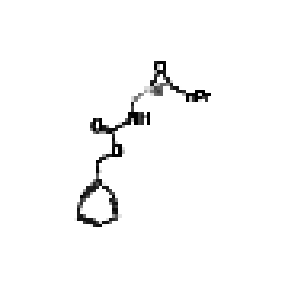 CCCC1O[C@H]1CNC(=O)OCc1ccccc1